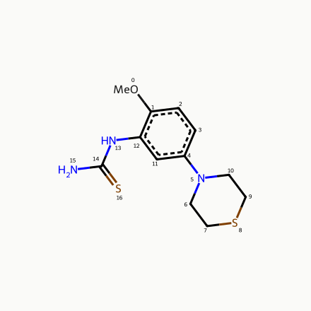 COc1ccc(N2CCSCC2)cc1NC(N)=S